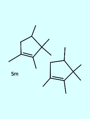 CC1=C(C)C(C)(C)C(C)C1.CC1=C(C)C(C)(C)C(C)C1.[Sm]